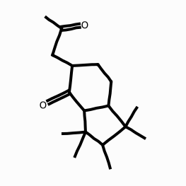 CC(=O)CC1CCC2C(C1=O)C(C)(C)C(C)C2(C)C